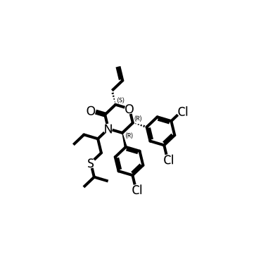 C=CC[C@@H]1O[C@H](c2cc(Cl)cc(Cl)c2)[C@@H](c2ccc(Cl)cc2)N(C(CC)CSC(C)C)C1=O